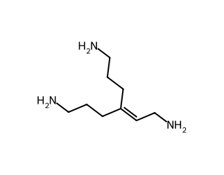 NCC=C(CCCN)CCCN